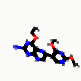 CCOc1nc(N)nc2ncc(-c3cnc(OC)nc3OC)nc12